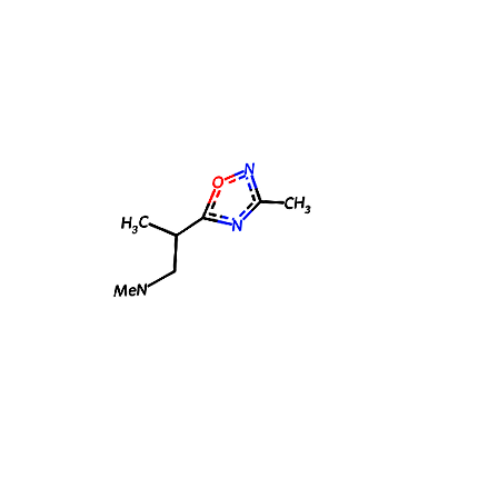 CNCC(C)c1nc(C)no1